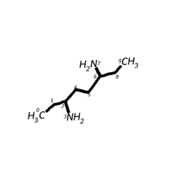 CCC(N)CCC(N)CC